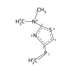 C=Pc1csc(N(C)C)n1